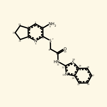 Nc1cc2c(nc1SCC(=O)Nc1nc3ccccc3s1)CCC2